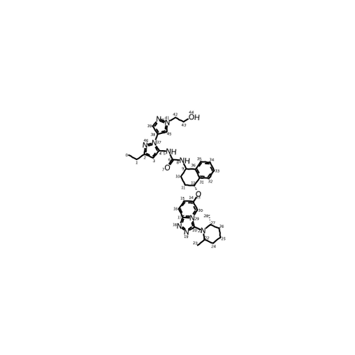 CCc1cc(NC(=O)NC2CC[C@@H](Oc3ccc4nnc(N5C(C)CCC[C@H]5C)n4c3)c3ccccc32)n(-c2cnn(CCO)c2)n1